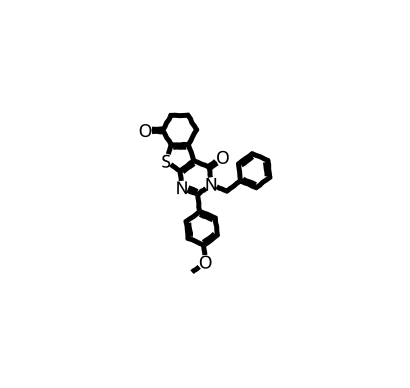 COc1ccc(-c2nc3sc4c(c3c(=O)n2Cc2ccccc2)CCCC4=O)cc1